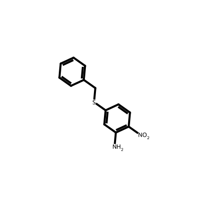 Nc1cc(SCc2ccccc2)ccc1[N+](=O)[O-]